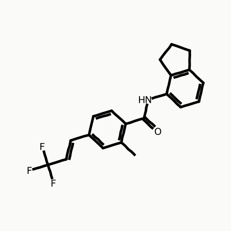 Cc1cc(/C=C/C(F)(F)F)ccc1C(=O)Nc1cccc2c1CCC2